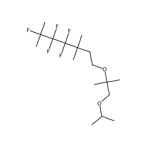 CC(C)OCC(C)(C)OCCC(C)(C)C(F)(F)C(F)(F)C(C)(C)F